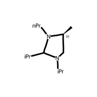 CCCN1C(C(C)C)N(C(C)C)C[C@@H]1C